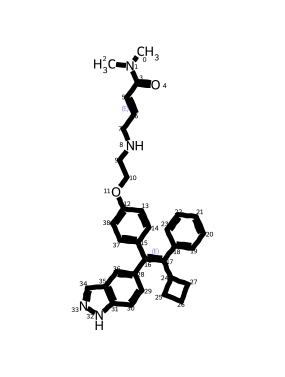 CN(C)C(=O)/C=C/CNCCOc1ccc(/C(=C(\c2ccccc2)C2CCC2)c2ccc3[nH]ncc3c2)cc1